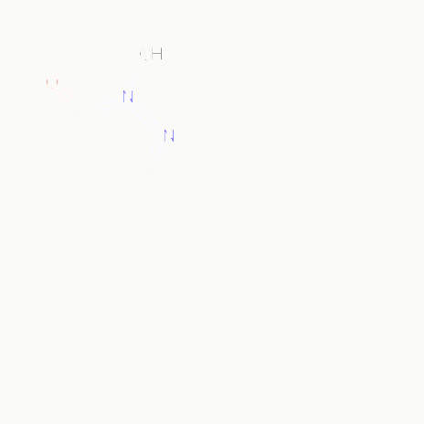 Cn1nc(-c2ccc(-c3ccccc3)cc2)ccc1=O